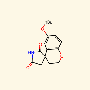 CCCCOc1ccc2c(c1)C1(CCO2)CC(=O)NC1=O